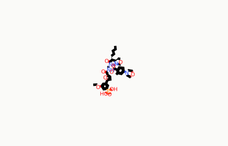 CCCCC[C@@H](C(=O)NCNC(=O)c1ccc(-c2cc(OCC)cc(P(=O)(O)O)c2)o1)[C@@H](CC)N(C=O)OC(=O)c1ccc(N2CCOCC2)cc1C